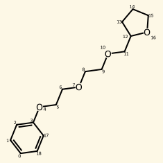 c1ccc(OCCOCCOCC2CCCO2)cc1